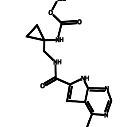 CC(C)(C)OC(=O)NC1(CNC(=O)c2cc3c(Cl)ncnc3[nH]2)CC1